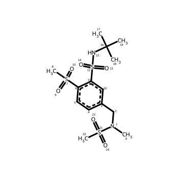 CN(Cc1ccc(S(C)(=O)=O)c(S(=O)(=O)NC(C)(C)C)c1)S(C)(=O)=O